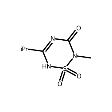 CC(C)C1=NC(=O)N(C)S(=O)(=O)N1